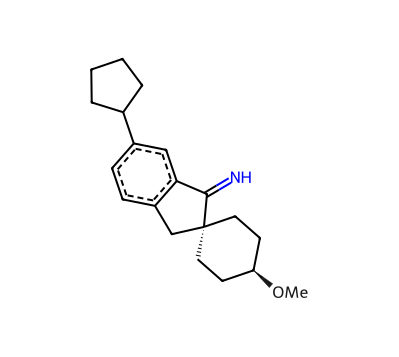 CO[C@H]1CC[C@]2(CC1)Cc1ccc(C3CCCC3)cc1C2=N